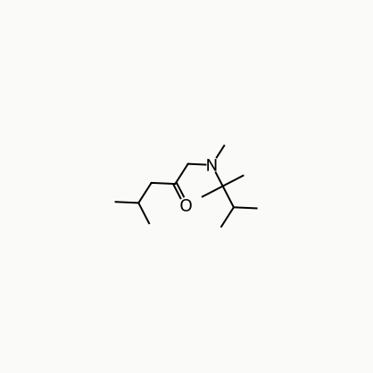 CC(C)CC(=O)CN(C)C(C)(C)C(C)C